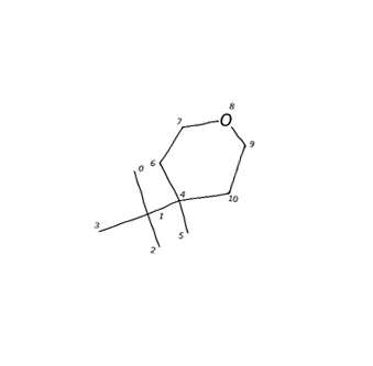 CC(C)(C)C1(C)CCOCC1